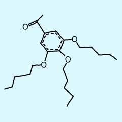 CCCCCOc1cc(C(C)=O)cc(OCCCCC)c1OCCCCC